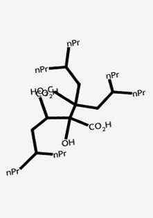 CCCC(CCC)CC(C(=O)O)C(O)(C(=O)O)C(CC(CCC)CCC)(CC(CCC)CCC)C(=O)O